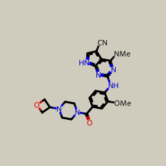 CNc1nc(Nc2ccc(C(=O)N3CCN(C4COC4)CC3)cc2OC)nc2[nH]cc(C#N)c12